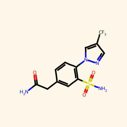 NC(=O)Cc1ccc(-n2cc(C(F)(F)F)cn2)c(S(N)(=O)=O)c1